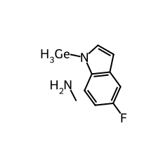 CN.Fc1ccc2c(cc[n]2[GeH3])c1